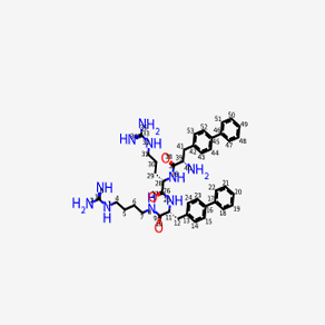 N=C(N)NCCCCNC(=O)[C@@H](Cc1ccc(-c2ccccc2)cc1)NC(=O)[C@H](CCCNC(=N)N)NC(=O)[C@@H](N)Cc1ccc(-c2ccccc2)cc1